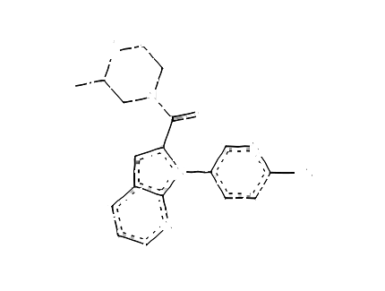 CC1CN(C(=O)c2cc3cccnc3n2-c2ccc(C#N)nc2)CCO1